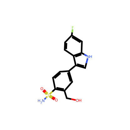 NS(=O)(=O)c1ccc(-c2c[nH]c3cc(F)ccc23)cc1CO